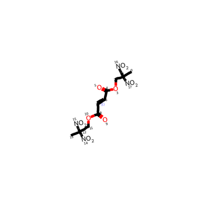 CC(COC(=O)/C=C/C(=O)OCC(C)([N+](=O)[O-])[N+](=O)[O-])([N+](=O)[O-])[N+](=O)[O-]